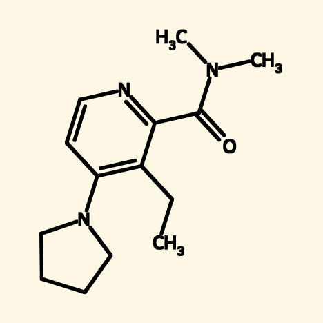 CCc1c(N2CCCC2)ccnc1C(=O)N(C)C